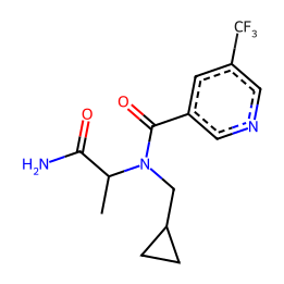 CC(C(N)=O)N(CC1CC1)C(=O)c1cncc(C(F)(F)F)c1